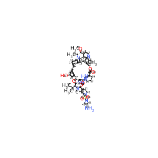 CCn1c(-c2cnccc2COC)c2c3cc(ccc31)-c1cc(O)cc(c1)C[C@H](NC(=O)C(C(C)C)N(C)C(=O)[C@H]1CCN(S(=O)(=O)N3CC(N)C3)C1)C(=O)N1CCC[C@H](N1)C(=O)OCC(C)(C)C2